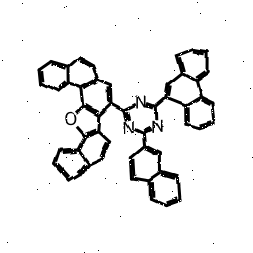 c1ccc2cc(-c3nc(-c4cc5ccccc5c5ccccc45)nc(-c4cc5ccc6ccccc6c5c5oc6c7ccccc7ccc6c45)n3)ccc2c1